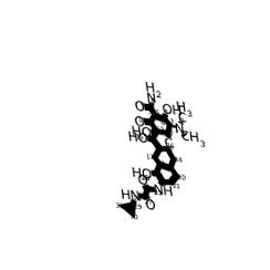 CN(C)[C@@H]1C(O)=C(C(N)=O)C(=O)C2(O)C(O)=C3Cc4c(ccc(NC(=O)C(=O)NC5CC5)c4O)CC3CC12